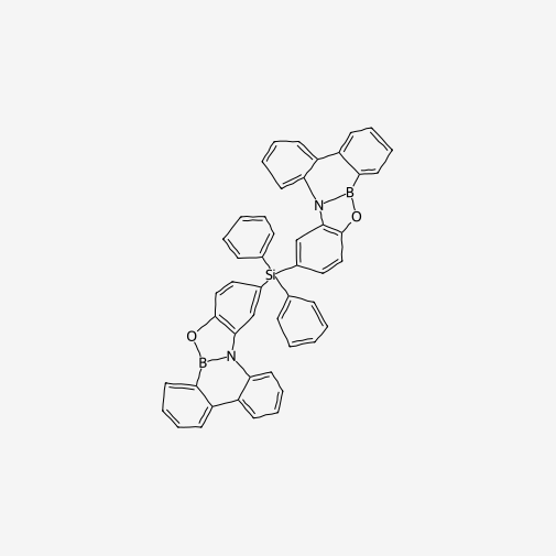 c1ccc([Si](c2ccccc2)(c2ccc3c(c2)N2B(O3)c3ccccc3-c3ccccc32)c2ccc3c(c2)N2B(O3)c3ccccc3-c3ccccc32)cc1